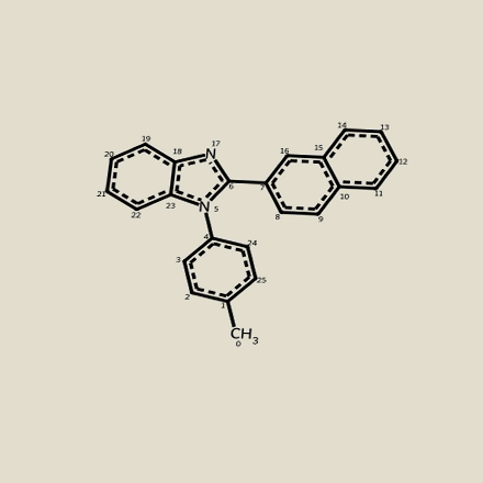 Cc1ccc(-n2c(-c3ccc4ccccc4c3)nc3ccccc32)cc1